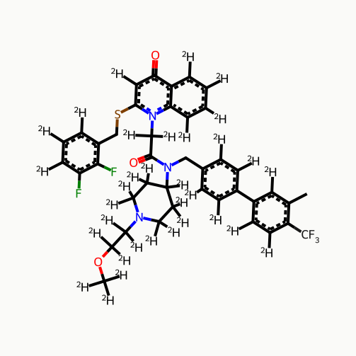 [2H]c1c([2H])c(F)c(F)c(CSc2c([2H])c(=O)c3c([2H])c([2H])c([2H])c([2H])c3n2C([2H])([2H])C(=O)N(Cc2c([2H])c([2H])c(-c3c([2H])c([2H])c(C(F)(F)F)c(C)c3[2H])c([2H])c2[2H])C2([2H])C([2H])([2H])C([2H])([2H])N(C([2H])([2H])C([2H])([2H])OC([2H])([2H])[2H])C([2H])([2H])C2([2H])[2H])c1[2H]